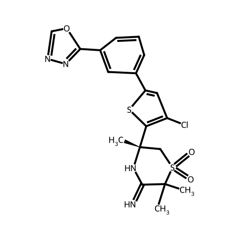 CC1(C)C(=N)N[C@](C)(c2sc(-c3cccc(-c4nnco4)c3)cc2Cl)CS1(=O)=O